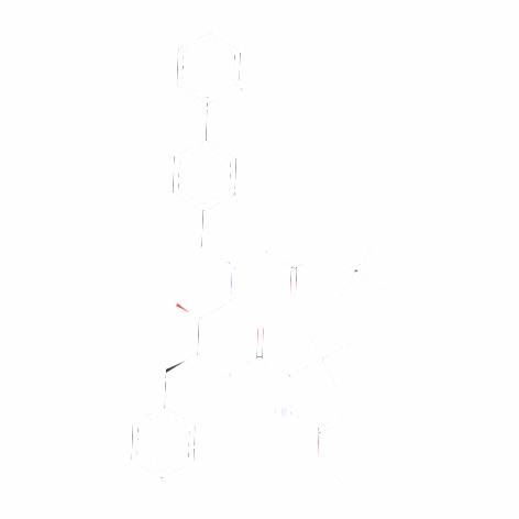 COC(=O)N[C@H](C(=O)N[C@@H](Cc1ccccc1)[C@@H](O)CN(Cc1ccc(-c2ccccn2)cc1)NC(=O)OC(C)(C)C)C(C)(C)C